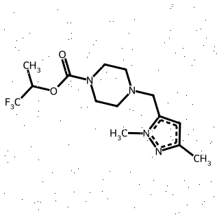 Cc1cc(CN2CCN(C(=O)OC(C)C(F)(F)F)CC2)n(C)n1